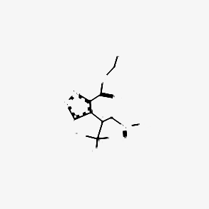 CCOC(=O)c1n[nH]cc1C(C[N+](=O)[O-])C(F)(F)F